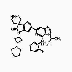 CC(C)n1cnc2cc(-c3ccc4c(c3)N([C@H]3C[C@@H](N5CCCCC5)C3)C(=O)C43CCNCC3)nc(Nc3ccccc3F)c21